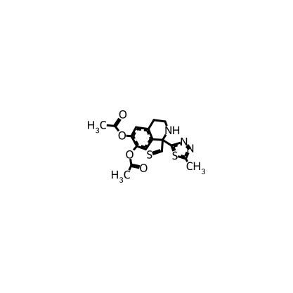 CC(=O)Oc1cc2c(cc1OC(C)=O)C(C=S)(c1nnc(C)s1)NCC2